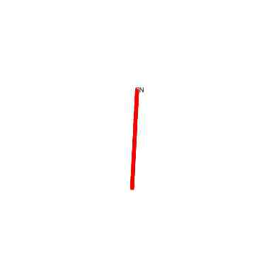 CC#CC#CC#CC#CC#CC#CC#CC#CC#CC#CC#CC#CC#CC#CC#CC#CC#CC#CC#CC#CC#CC#CC#CC#CC#CC#CC#CC#CC#CC#CC#CC#CC#CC#CC#CC#CC#CC#CC#CC#CC#CC#CC#CC#CC#CC#CC#CC#CC#CC#CC#CC#CC#CC#CC#CC#CC#CC#CC#N